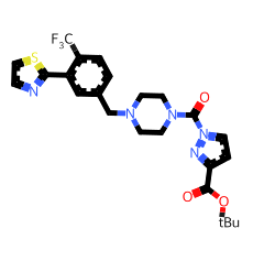 CC(C)(C)OC(=O)c1ccn(C(=O)N2CCN(Cc3ccc(C(F)(F)F)c(-c4nccs4)c3)CC2)n1